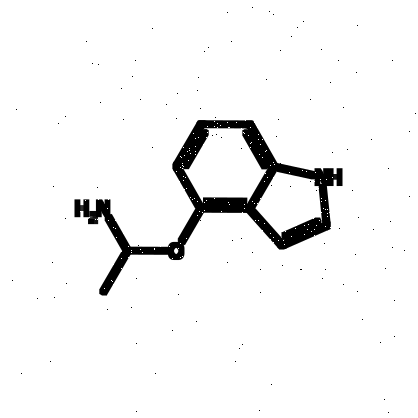 CC(N)Oc1cccc2[nH]ccc12